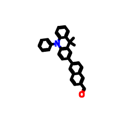 CC1(C)c2ccccc2N(c2ccccc2)c2ccc(-c3ccc4cc(C=O)ccc4c3)cc21